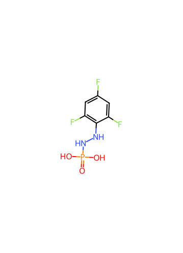 O=P(O)(O)NNc1c(F)cc(F)cc1F